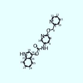 O=C(Nc1ccc(OCc2ccccn2)nc1)Oc1c[nH]c2ccccc12